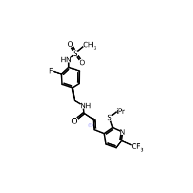 CC(C)Sc1nc(C(F)(F)F)ccc1/C=C/C(=O)NCc1ccc(NS(C)(=O)=O)c(F)c1